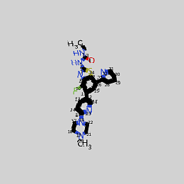 CCNC(=O)Nc1nc2c(F)c(-c3ccc(N4CCN(C)CC4)nc3)cc(-c3ccccn3)c2s1